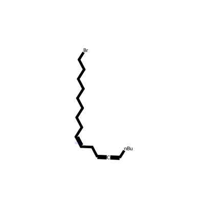 CCCCC=C=CC/C=C\CCCCCCCCBr